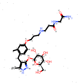 Cc1cc(OCCCNCCC(=O)NCC(N)=O)ccc1Cc1c(O[C@@H]2O[C@H](CO)[C@@H](O)[C@H](O)[C@H]2O)n[nH]c1C(C)C